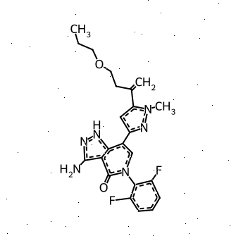 C=C(CCOCCC)c1cc(-c2cn(-c3c(F)cccc3F)c(=O)c3c(N)n[nH]c23)nn1C